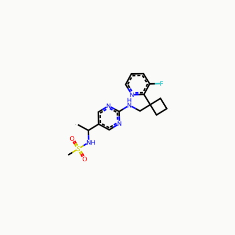 [CH2]C(NS(C)(=O)=O)c1cnc(NCC2(c3ncccc3F)CCC2)nc1